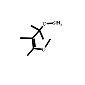 COC(C)=C(C)C(C)(C)O[SiH3]